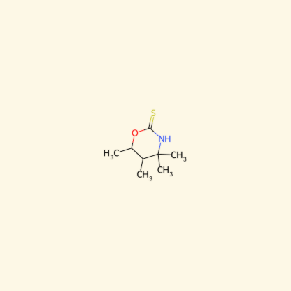 CC1OC(=S)NC(C)(C)C1C